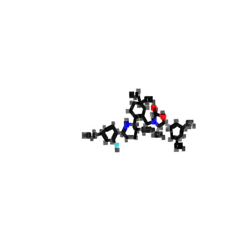 COc1ccc(-c2ccc(C(=O)O)cc2F)nc1C1=C(CN2C(=O)O[C@H](c3cc(C)cc(C(F)(F)F)c3)[C@@H]2C)CC(C)(C)CC1